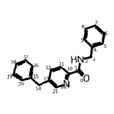 O=C(NCc1ccccc1)c1ccc(Cc2ccccc2)cn1